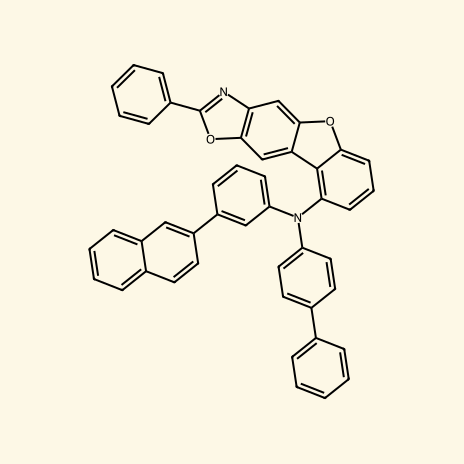 c1ccc(-c2ccc(N(c3cccc(-c4ccc5ccccc5c4)c3)c3cccc4oc5cc6nc(-c7ccccc7)oc6cc5c34)cc2)cc1